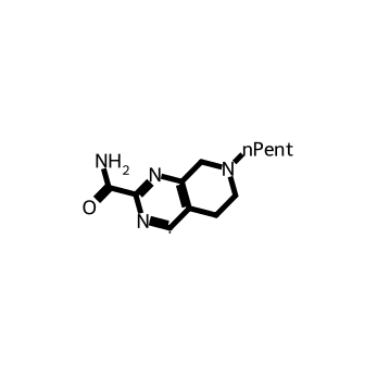 CCCCCN1CCc2[c]nc(C(N)=O)nc2C1